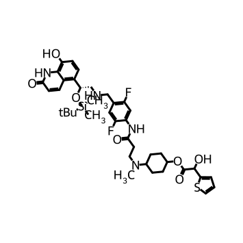 CN(CCC(=O)Nc1cc(F)c(CNC[C@H](O[Si](C)(C)C(C)(C)C)c2ccc(O)c3[nH]c(=O)ccc23)cc1F)C1CCC(OC(=O)C(O)c2cccs2)CC1